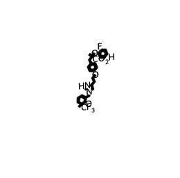 CC(Cc1ccc(OCCC2CN(CC3=CC=CC(C)(C(F)(F)F)C3=O)CN2)cc1)(Oc1ccccc1F)C(=O)O